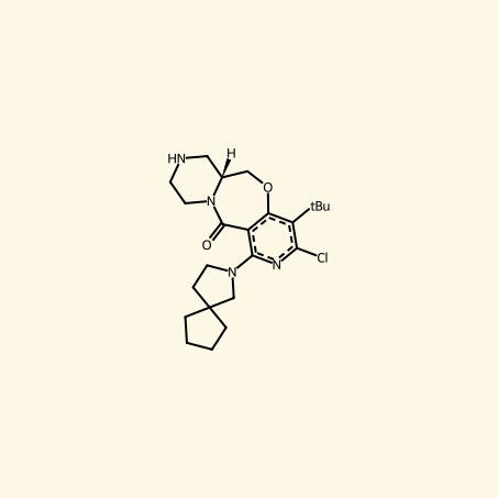 CC(C)(C)c1c(Cl)nc(N2CCC3(CCCC3)C2)c2c1OC[C@H]1CNCCN1C2=O